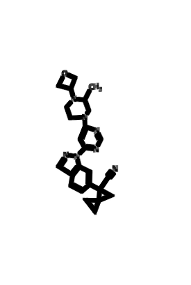 CC1CN(c2cc(-n3ncc4ccc(C5(C#N)CC56CC6)cc43)ncn2)CCN1C1COC1